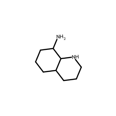 NC1CCCC2CCCNC12